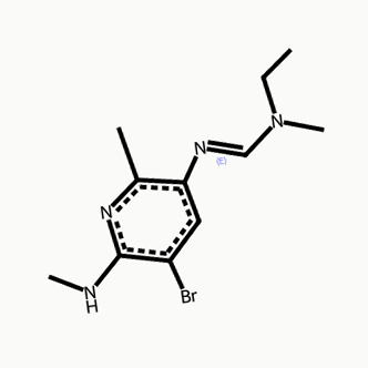 CCN(C)/C=N/c1cc(Br)c(NC)nc1C